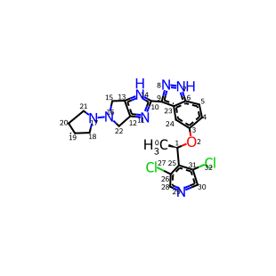 C[C@@H](Oc1ccc2[nH]nc(-c3nc4c([nH]3)CN(N3C[CH]CC3)C4)c2c1)c1c(Cl)cncc1Cl